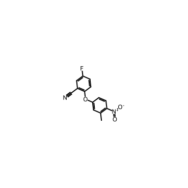 Cc1cc(Oc2ccc(F)cc2C#N)ccc1[N+](=O)[O-]